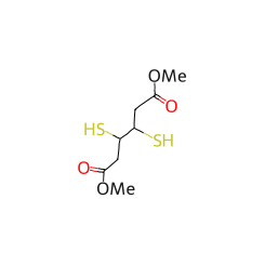 COC(=O)CC(S)C(S)CC(=O)OC